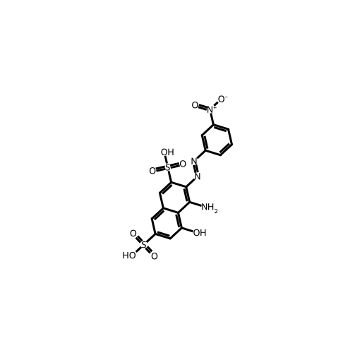 Nc1c(N=Nc2cccc([N+](=O)[O-])c2)c(S(=O)(=O)O)cc2cc(S(=O)(=O)O)cc(O)c12